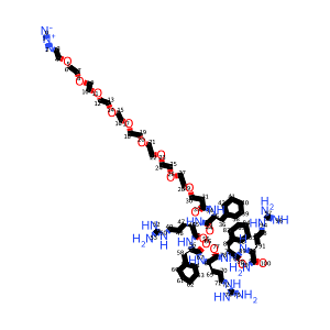 [N-]=[N+]=NCCOCCOCCOCCOCCOCCOCCOCCOCCOCCC(=O)N[C@@H](CC1CCCCC1)C(=O)N[C@H](CCCNC(=N)N)C(=O)N[C@@H](CC1CCCCC1)C(=O)N[C@H](CCCNC(=N)N)C(=O)N[C@@H](CC1CCCCC1)C(=O)N[C@H](CCCNC(=N)N)C(N)=O